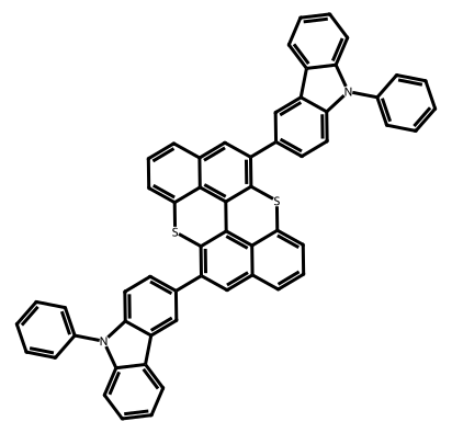 c1ccc(-n2c3ccccc3c3cc(-c4cc5cccc6sc7c(-c8ccc9c(c8)c8ccccc8n9-c8ccccc8)cc8cccc9sc4c(c56)-c7c89)ccc32)cc1